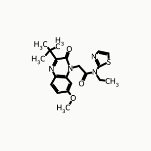 CCN(C(=O)Cn1c(=O)c(C(C)(C)C)nc2ccc(OC)cc21)c1nccs1